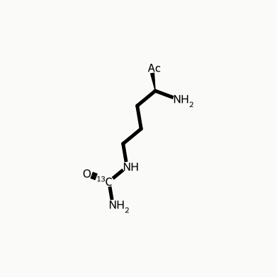 CC(=O)[C@@H](N)CCCN[13C](N)=O